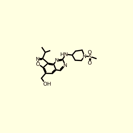 CC(C)c1noc2c(CO)cc3cnc(NC4CCN(S(C)(=O)=O)CC4)nc3c12